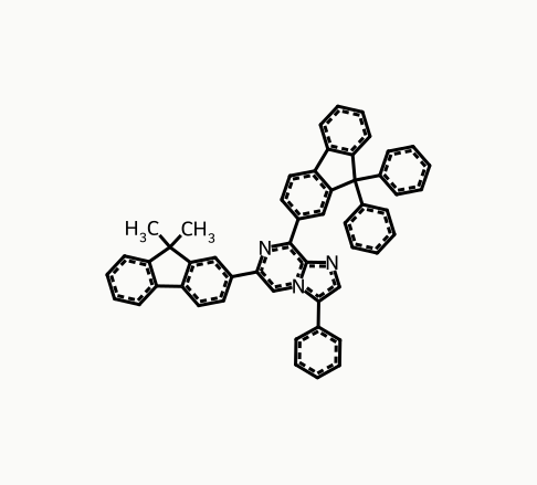 CC1(C)c2ccccc2-c2ccc(-c3cn4c(-c5ccccc5)cnc4c(-c4ccc5c(c4)C(c4ccccc4)(c4ccccc4)c4ccccc4-5)n3)cc21